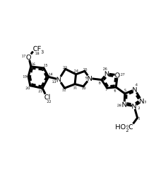 O=C(O)Cn1nnc(-c2cc(N3CC4CN(c5cc(OC(F)(F)F)ccc5Cl)CC4C3)no2)n1